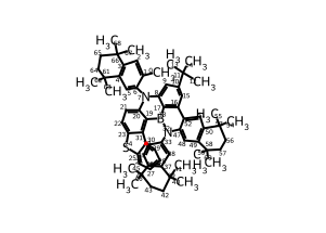 Cc1cc2c(cc1N1c3cc(C(C)(C)C)cc4c3B(c3c1ccc1sc5ccccc5c31)N(c1ccc3c(c1)C(C)(C)CCC3(C)C)c1cc3c(cc1-4)C(C)(C)CCC3(C)C)C(C)(C)CCC2(C)C